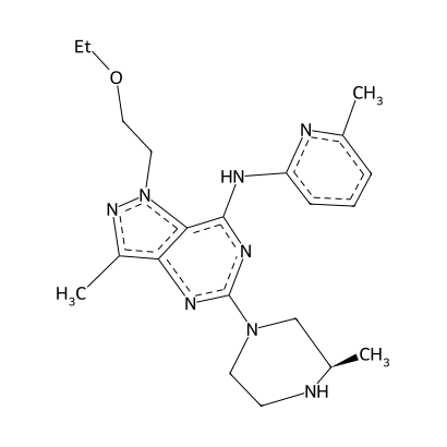 CCOCCn1nc(C)c2nc(N3CCN[C@H](C)C3)nc(Nc3cccc(C)n3)c21